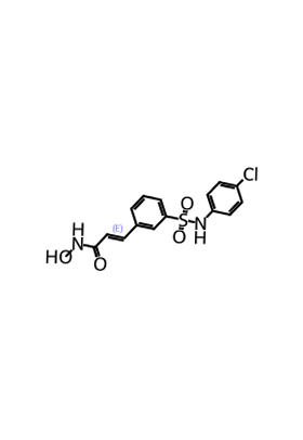 O=C(/C=C/c1cccc(S(=O)(=O)Nc2ccc(Cl)cc2)c1)NO